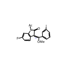 CO/C(=C1/C(=O)N(C(C)=O)c2cc(F)ccc21)c1cccc(I)c1